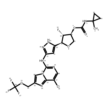 CC1(NC(=O)O[C@H]2CO[C@@H](c3cc(Nc4ncc(Cl)c5nc(COC(F)(F)F)cn45)n[nH]3)[C@@H]2F)CC1